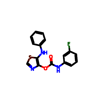 O=C(Nc1cccc(F)c1)Oc1ncsc1Nc1ccccc1